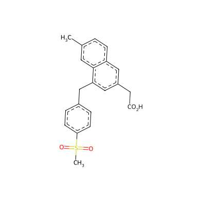 Cc1ccc2cc(CC(=O)O)cc(Cc3ccc(S(C)(=O)=O)cc3)c2c1